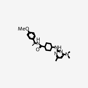 COc1ccc([C@H](C)NC(=O)C2CCC(Nc3nc(C)cc(N(C)C)n3)CC2)cc1